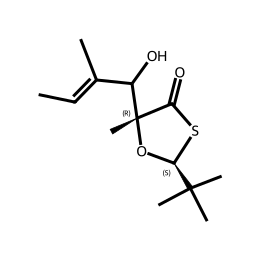 CC=C(C)C(O)[C@@]1(C)O[C@H](C(C)(C)C)SC1=O